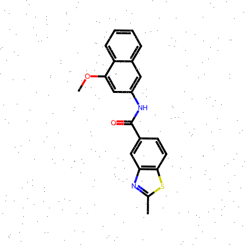 COc1cc(NC(=O)c2ccc3sc(C)nc3c2)cc2ccccc12